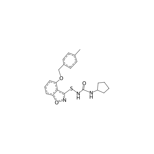 Cc1ccc(COc2cccc3onc(SNC(=O)NC4CCCC4)c23)cc1